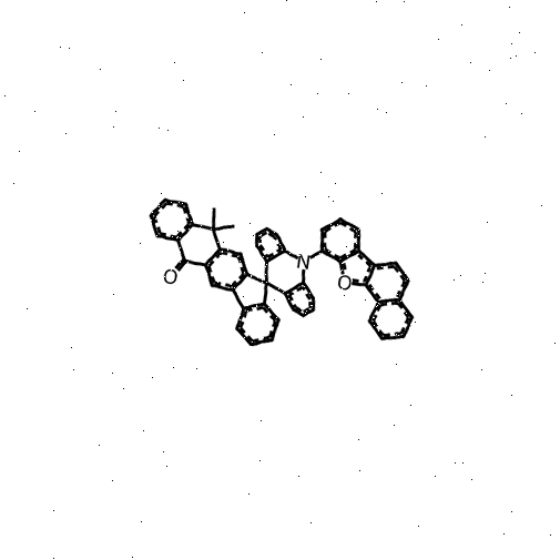 CC1(C)c2ccccc2C(=O)c2cc3c(cc21)C1(c2ccccc2-3)c2ccccc2N(c2cccc3c2oc2c4ccccc4ccc32)c2ccccc21